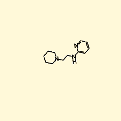 c1ccc(NCCN2CCCCC2)nc1